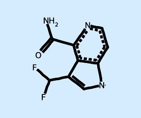 NC(=O)c1nccc2c1C(C(F)F)=C[N]2